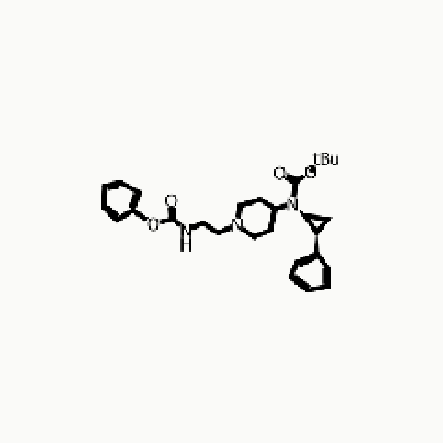 CC(C)(C)OC(=O)N(C1CCN(CCNC(=O)Oc2ccccc2)CC1)[C@@H]1C[C@H]1c1ccccc1